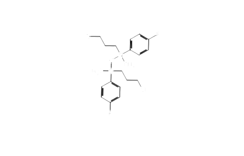 C[Si](CCCCl)(O[Si](C)(CCCCl)c1ccc(F)cc1)c1ccc(F)cc1